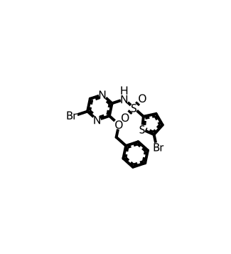 O=S(=O)(Nc1ncc(Br)nc1OCc1ccccc1)c1ccc(Br)s1